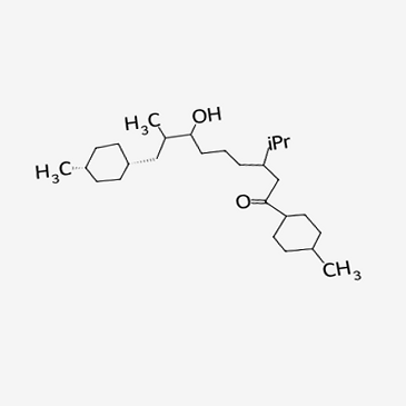 CC1CCC(C(=O)CC(CCCC(O)C(C)C[C@H]2CC[C@@H](C)CC2)C(C)C)CC1